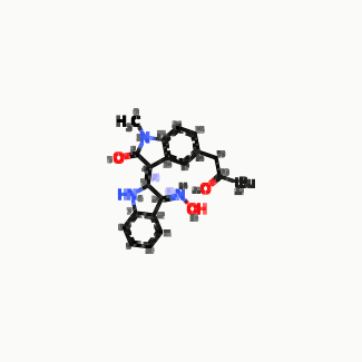 CN1C(=O)/C(=C2\Nc3ccccc3\C2=N/O)c2cc(CC(=O)C(C)(C)C)ccc21